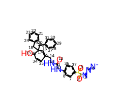 [N-]=[N+]=NS(=O)(=O)c1ccc(NC(=O)NCC2=CC(Cc3ccccc3)(Cc3ccccc3)C(O)C=C2)cc1